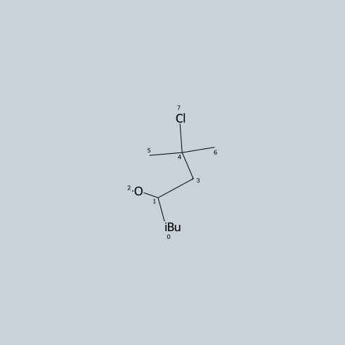 CCC(C)C([O])CC(C)(C)Cl